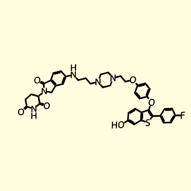 O=C1CCC(N2Cc3cc(NCCCN4CCN(CCOc5ccc(Oc6c(-c7ccc(F)cc7)sc7cc(O)ccc67)cc5)CC4)ccc3C2=O)C(=O)N1